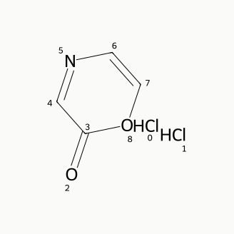 Cl.Cl.O=c1cncco1